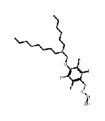 CCCCCCCCC(CCCCCC)COc1c(F)c(F)c(SOOO)c(F)c1F